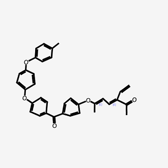 C=C/C(=C\C=C(/C)Oc1ccc(C(=O)c2ccc(Oc3ccc(Oc4ccc(C)cc4)cc3)cc2)cc1)C(C)=O